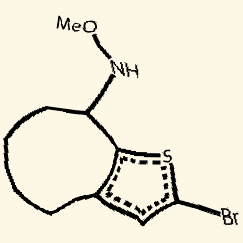 CONC1CCCCc2cc(Br)sc21